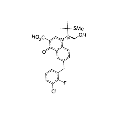 CSC(C)(C)[C@@H](CO)n1cc(C(=O)O)c(=O)c2cc(Cc3cccc(Cl)c3F)ccc21